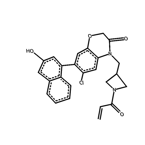 C=CC(=O)N1CC(CN2C(=O)COc3cc(-c4cc(O)cc5ccccc45)c(Cl)cc32)C1